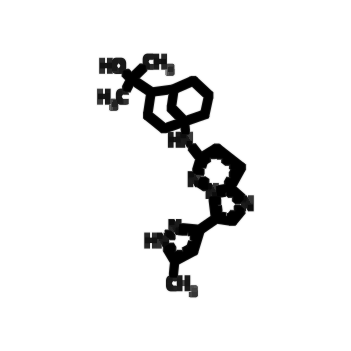 Cc1cc(-c2cnc3ccc(NC45CCCC(C4)C(C(C)(C)O)CC5)nn23)n[nH]1